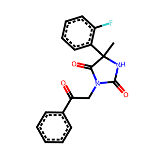 CC1(c2ccccc2F)NC(=O)N(CC(=O)c2ccccc2)C1=O